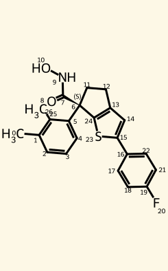 Cc1cccc([C@]2(C(=O)NO)CCc3cc(-c4ccc(F)cc4)sc32)c1C